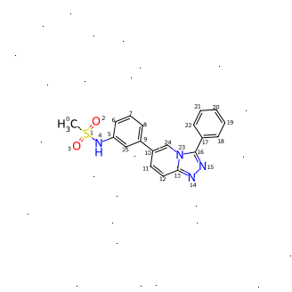 CS(=O)(=O)Nc1cccc(-c2ccc3nnc(-c4ccccc4)n3c2)c1